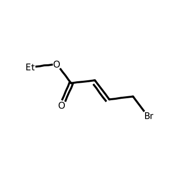 CCOC(=O)C=CCBr